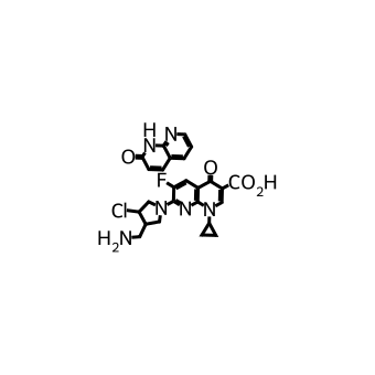 NCC1CN(c2nc3c(cc2F)c(=O)c(C(=O)O)cn3C2CC2)CC1Cl.O=c1ccc2cccnc2[nH]1